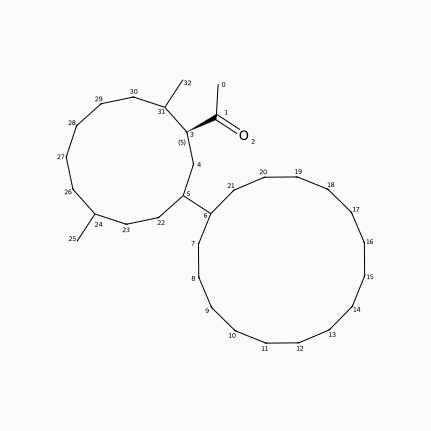 CC(=O)[C@H]1CC(C2CCCCCCCCCCCCCCC2)CCC(C)CCCCCC1C